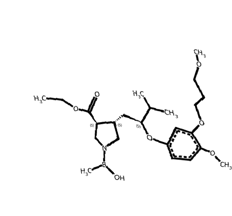 CCOC(=O)[C@@H]1CN(B(C)O)C[C@H]1C[C@H](Oc1ccc(OC)c(OCCCOC)c1)C(C)C